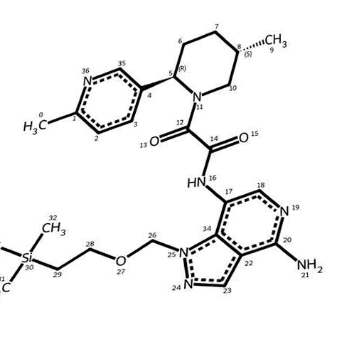 Cc1ccc([C@H]2CC[C@H](C)CN2C(=O)C(=O)Nc2cnc(N)c3cnn(COCC[Si](C)(C)C)c23)cn1